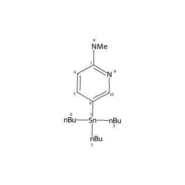 CCC[CH2][Sn]([CH2]CCC)([CH2]CCC)[c]1ccc(NC)nc1